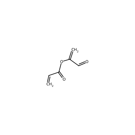 C=CC(=O)OC(=C)C=O